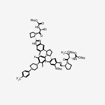 CC[C@H](NC(=O)OC)C(=O)N1CCC[C@H]1c1nc2cc([C@H]3CC[C@H](c4cc(/N=C/[C@@H]5CCCN5C(=O)[C@@H](NC(=O)OC)[C@@H](C)OC)c(NC)cc4F)N3c3cc(F)c(N4CCN(c5ccc(C(F)(F)F)cc5)CC4)c(F)c3)c(F)cc2[nH]1